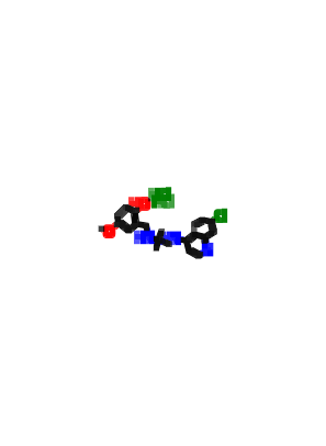 COc1ccc(O)c(CNC(C)(C)CNc2ccnc3cc(Cl)ccc23)c1.Cl.Cl